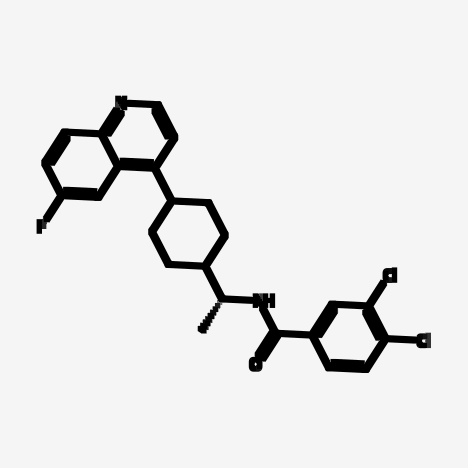 C[C@@H](NC(=O)c1ccc(Cl)c(Cl)c1)C1CCC(c2ccnc3ccc(F)cc23)CC1